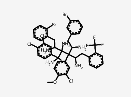 COc1ccc(C(C(N)Cc2cccc(Br)c2)(C(N)Cc2ccccc2C(F)(F)F)C(N)(C(N)Cc2ccccc2Br)C(C)(N)c2ccc(Cl)c(Cl)c2)cc1Cl